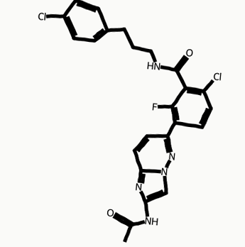 CC(=O)Nc1cn2nc(-c3ccc(Cl)c(C(=O)NCCCc4ccc(Cl)cc4)c3F)ccc2n1